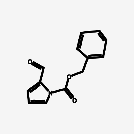 O=Cc1cccn1C(=O)OCc1ccccc1